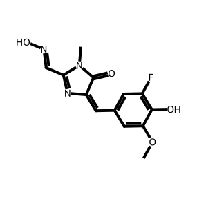 COc1cc(C=C2N=C(C=NO)N(C)C2=O)cc(F)c1O